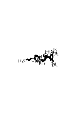 CCCCOc1ccc2nn(CC(=O)c3cc(COC)cc(C(C)(C)C)c3)c(=N)n2n1